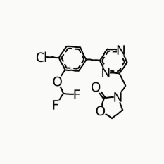 O=C1OCCN1Cc1cncc(-c2ccc(Cl)c(OC(F)F)c2)n1